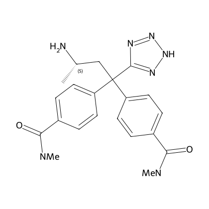 CNC(=O)c1ccc(C(C[C@H](C)N)(c2ccc(C(=O)NC)cc2)c2nn[nH]n2)cc1